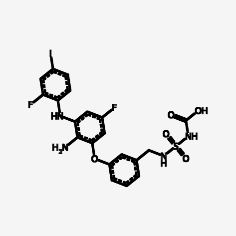 Nc1c(Nc2ccc(I)cc2F)cc(F)cc1Oc1cccc(CNS(=O)(=O)NC(=O)O)c1